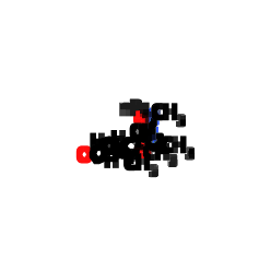 CCCC(=O)N(C)CCN1C[C@@H](C)C[C@@]2(C)O[C@]3(CC[C@@H]4C(=C(C)C3)C[C@H]3[C@H]4CC[C@@H]4CC(=O)CC[C@@]43C)[C@H](C)[C@H]12